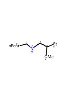 CCCCCCNCC(CC)OC